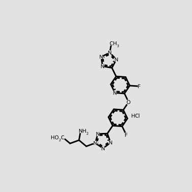 Cl.Cn1nnc(-c2cnc(Oc3ccc(-c4nnn(CC(N)CC(=O)O)n4)c(F)c3)c(F)c2)n1